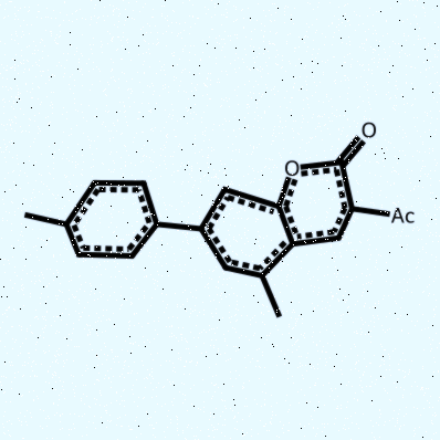 CC(=O)c1cc2c(C)cc(-c3ccc(C)cc3)cc2oc1=O